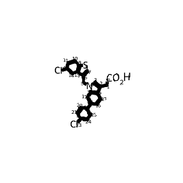 O=C(O)Cc1cn(Cc2csc3ccc(Cl)cc23)c2cc(-c3ccc(Cl)cc3)ccc12